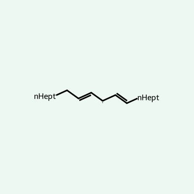 CCCCCCCC=C[CH]C=CCCCCCCCC